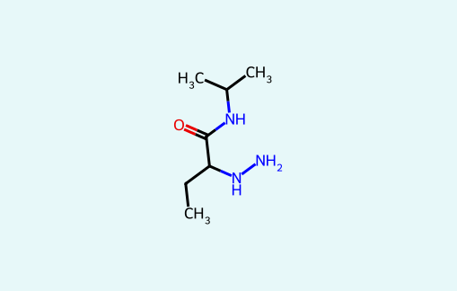 CCC(NN)C(=O)NC(C)C